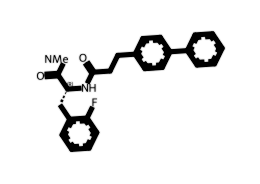 CNC(=O)[C@@H](Cc1ccccc1F)NC(=O)CCc1ccc(-c2ccccc2)cc1